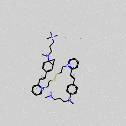 CNCCCN(C)c1ccc(/C=C/c2cccc[n+]2CCSSCC[n+]2ccccc2/C=C/C2=CC3CC3(N(C)CCC[N+](C)(C)C)C=C2)cc1